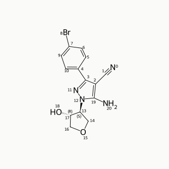 N#Cc1c(-c2ccc(Br)cc2)nn([C@H]2COC[C@@H]2O)c1N